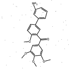 COc1ccc(-c2cccc(N)c2)cc1C(=O)c1cc(OC)c(OC)c(OC)c1